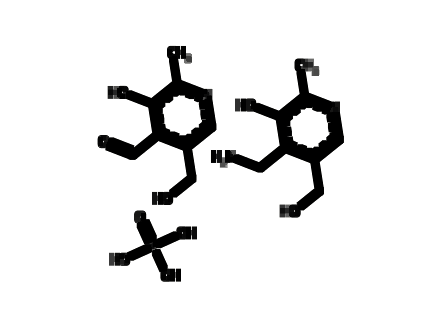 Cc1ncc(CO)c(C=O)c1O.Cc1ncc(CO)c(CN)c1O.O=P(O)(O)O